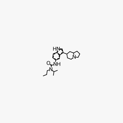 CCCN(C(=O)Nc1ccc2[nH]cc(C3CCN4CCCC4C3)c2c1)C(C)C